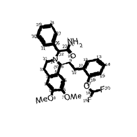 COc1cc2c(cc1OC)[C@H](CCc1ccccc1OC(F)F)N(C(C(N)=O)c1ccccc1)CC2